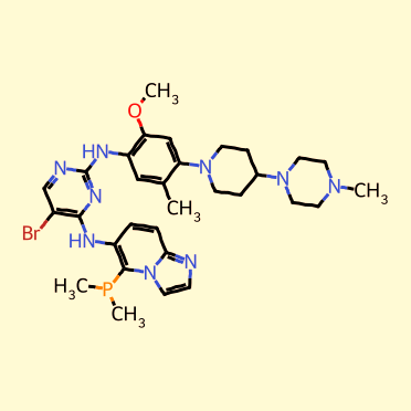 COc1cc(N2CCC(N3CCN(C)CC3)CC2)c(C)cc1Nc1ncc(Br)c(Nc2ccc3nccn3c2P(C)C)n1